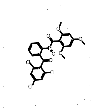 COc1cc(OC)c(C(=O)[P](=O)c2ccccc2C(=O)c2c(Cl)cc(Cl)cc2Cl)c(OC)c1